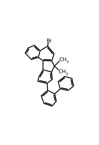 CC1(C)c2cc(-c3ccccc3-c3ccccc3)ccc2-c2c1cc(Br)c1ccccc21